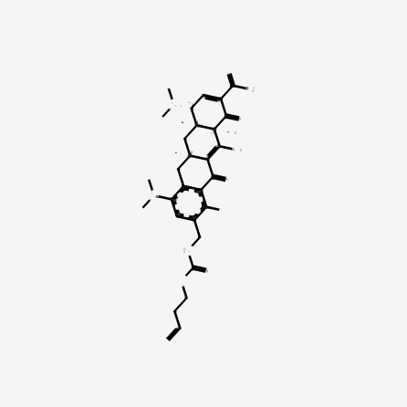 C=CCCOC(=O)NCc1cc(N(C)C)c2c(c1O)C(=O)C1=C(O)[C@]3(O)C(=O)C(C(N)=O)=C[C@@H](N(C)C)[C@@H]3C[C@@H]1C2